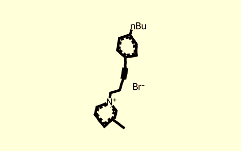 CCCCc1ccc(C#CCC[n+]2cccc(C)c2)cc1.[Br-]